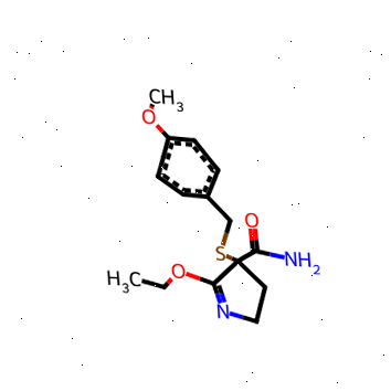 CCOC1=NCCC1(SCc1ccc(OC)cc1)C(N)=O